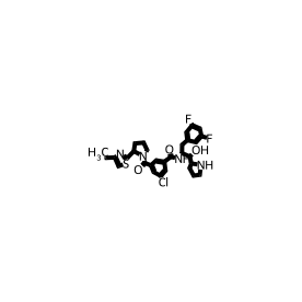 CCc1csc(C2CCCN2C(=O)c2cc(Cl)cc(C(=O)NC(Cc3cc(F)cc(F)c3)C(O)C3CCCN3)c2)n1